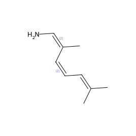 CC(C)=C/C=C\C(C)=C/N